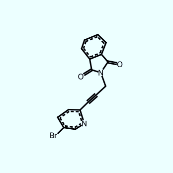 O=C1c2ccccc2C(=O)N1CC#Cc1ccc(Br)cn1